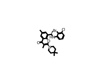 Cc1cc([C@@H](C)Nc2cccc(Cl)c2Br)c2oc(N3CCC(C)(C)CC3)c(C)c(=O)c2c1